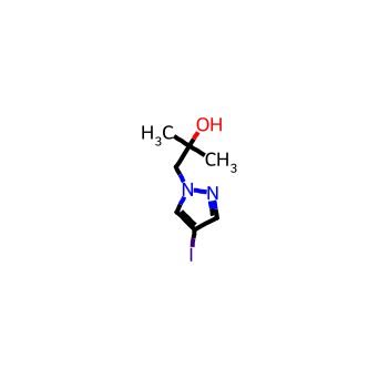 CC(C)(O)Cn1cc(I)cn1